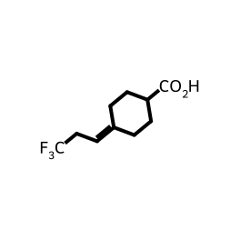 O=C(O)C1CCC(=CCC(F)(F)F)CC1